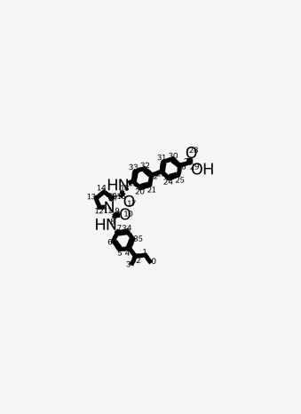 CCC(C)c1ccc(NC(=O)N2CCC[C@@H]2C(=O)Nc2ccc(-c3ccc(C(=O)O)cc3)cc2)cc1